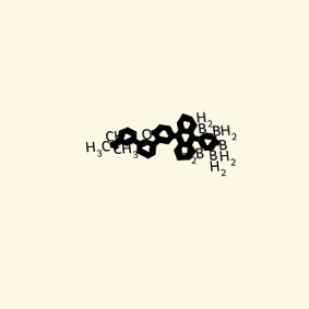 Bc1c(B)c(B)c(-c2c3ccccc3c(-c3ccc4oc5c(-c6cccc(C(C)(C)C)c6)cccc5c4c3)c3ccccc23)c(B)c1B